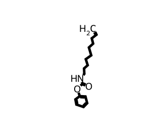 C=CCCCCCCCCNC(=O)Oc1ccccc1